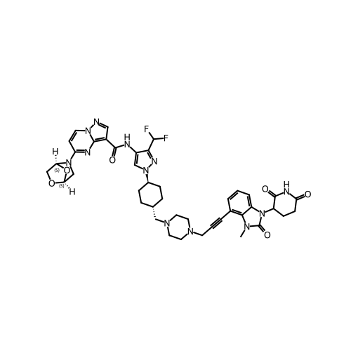 Cn1c(=O)n(C2CCC(=O)NC2=O)c2cccc(C#CCN3CCN(C[C@H]4CC[C@H](n5cc(NC(=O)c6cnn7ccc(N8C[C@H]9OC[C@@H]8O9)nc67)c(C(F)F)n5)CC4)CC3)c21